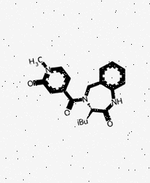 CC[C@H](C)[C@H]1C(=O)Nc2ccccc2CN1C(=O)c1ccn(C)c(=O)c1